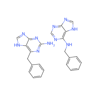 Nc1nc(Cc2ccccc2)c2[nH]cnc2n1.c1ccc(CNc2ncnc3nc[nH]c23)cc1